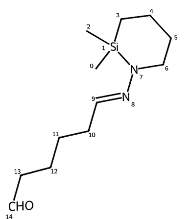 C[Si]1(C)CCCCN1N=CCCCCC=O